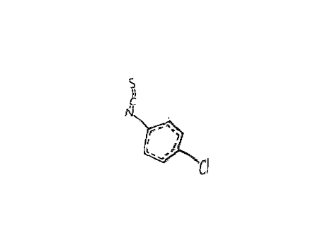 S=C=Nc1[c]cc(Cl)cc1